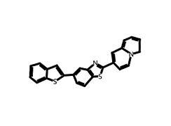 C1=CCN2C=CC(c3nc4cc(-c5cc6ccccc6s5)ccc4s3)=CC2=C1